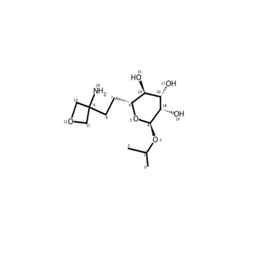 CC(C)O[C@H]1O[C@H](CCC2(N)COC2)[C@@H](O)[C@H](O)[C@@H]1O